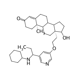 CCC(NC1CCCCC1)c1cncc(OCC[C@]23CCC4C(CCC5=CC(=O)CC[C@@]54C)C2CCC3O)c1